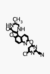 C[C@@H]1CNc2c(oc3ccc4nc(Oc5cc(Cl)nc(C#N)n5)ccc4c23)C(=O)N1